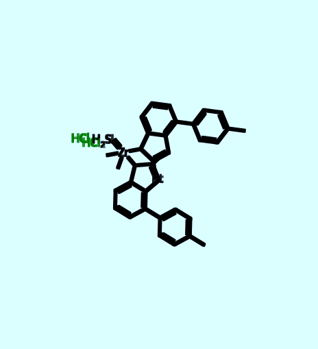 CCC1=Cc2c(-c3ccc(C)cc3)cccc2[CH]1[Zr]([CH3])([CH3])(=[SiH2])[CH]1C(C)=Cc2c(-c3ccc(C)cc3)cccc21.Cl.Cl